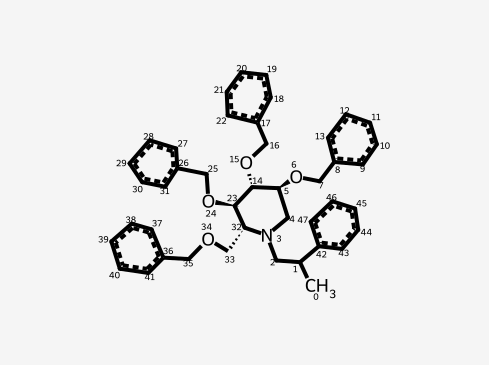 CC(CN1C[C@H](OCc2ccccc2)[C@@H](OCc2ccccc2)[C@H](OCc2ccccc2)[C@H]1COCc1ccccc1)c1ccccc1